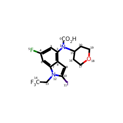 O=C(O)N(c1cc(F)cc2c1cc(I)n2CC(F)(F)F)C1CCOCC1